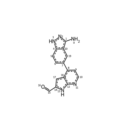 Nc1n[nH]c2ccc(-c3ccnc4[nH]c(C=O)cc34)cc12